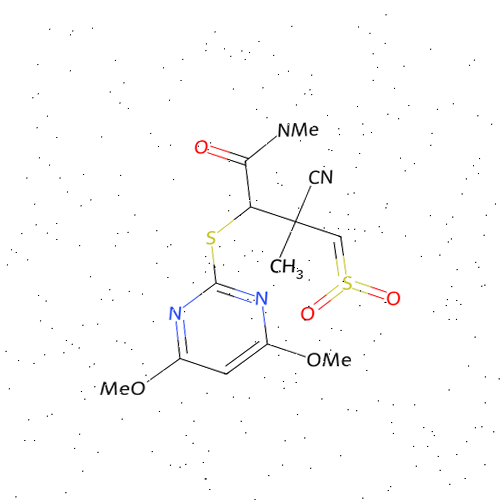 CNC(=O)C(Sc1nc(OC)cc(OC)n1)C(C)(C#N)C=S(=O)=O